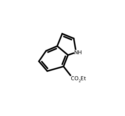 CCOC(=O)c1cccc2cc[nH]c12